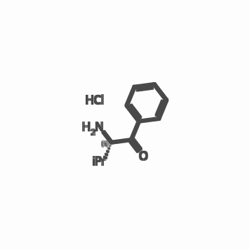 CC(C)[C@H](N)C(=O)c1ccccc1.Cl